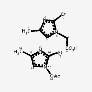 CCc1nc(C)cn1CC(=O)O.CCc1nc(C)cn1OC(C)=O